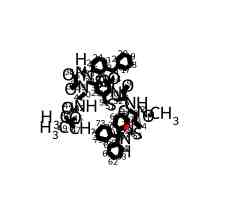 CON=C(C(=O)NC1C(=O)N2C(C(=O)OC(c3ccccc3)c3ccccc3)=C(C=C(S)c3n[nH]c(=O)c(=O)n3CCNC(=O)OC(C)(C)C)CSC12)c1csc(NC(c2ccccc2)(c2ccccc2)c2ccccc2)n1